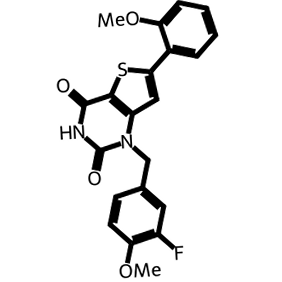 COc1ccc(Cn2c(=O)[nH]c(=O)c3sc(-c4ccccc4OC)cc32)cc1F